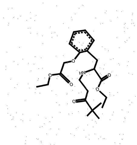 CCOC(=O)COc1ccccc1CC(NCCC(=O)C(C)(C)C)C(=O)OCC